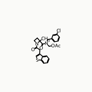 CC(=O)OCN(Cc1cccc(Cl)c1)C(=O)C1(C)CCN1C(=O)Cc1csc2ccccc12